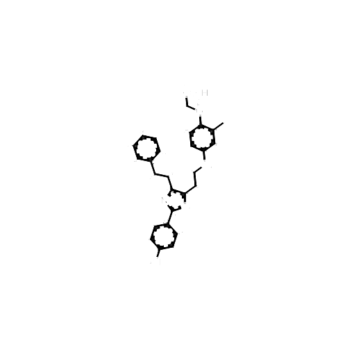 Cc1cc(SCCc2sc(-c3ccc(C(F)(F)F)cc3)nc2CCc2ccccc2)ccc1OCC(=O)O